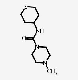 CN1CCN(C(=O)NC2CCSCC2)CC1